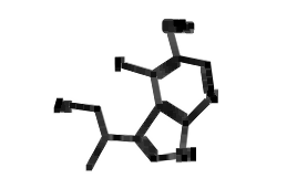 COc1cnc2[nH]cc(C(C)CC(C)=O)c2c1F